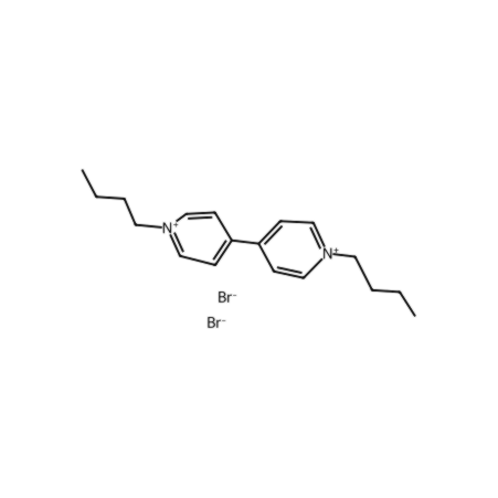 CCCC[n+]1ccc(-c2cc[n+](CCCC)cc2)cc1.[Br-].[Br-]